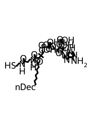 CCCCCCCCCCCCCCCCCC(=O)O[C@@H](C(=O)NCCC(=O)NCCS)C(C)(C)COP(=O)(O)OP(=O)(O)OC[C@H]1O[C@@H](n2cnc3c(N)ncnc32)[C@H](O)[C@@H]1OP(=O)(O)O